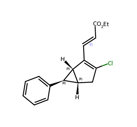 CCOC(=O)/C=C/C1=C(Cl)C[C@H]2[C@@H]1[C@@H]2c1ccccc1